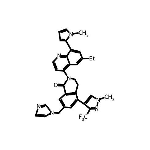 CCc1cc(-c2cccn2C)c2nccc(N3CCc4c(cc(Cn5ccnc5)cc4-c4cn(C)nc4C(F)(F)F)C3=O)c2c1